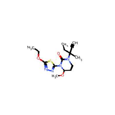 C#CC(C)(CC)N1CCC(OC)N(c2nnc(OCC)s2)C1=O